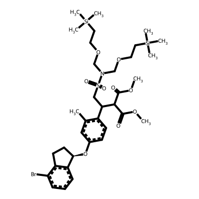 COC(=O)C(C(=O)OC)C(CS(=O)(=O)N(COCC[Si](C)(C)C)COCC[Si](C)(C)C)c1ccc(O[C@@H]2CCc3c(Br)cccc32)cc1C